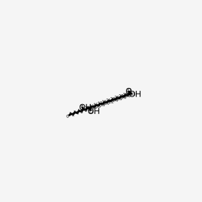 CCCCCCCC(O)CCC(O)CCCCCCCCCCCCCCCCCCC(=O)O